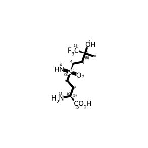 C[C@@](O)(CC[S@@](=N)(=O)CC[C@H](N)C(=O)O)C(F)(F)F